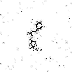 COC1(C)OCC(COC(=O)C=Cc2ccccc2)O1